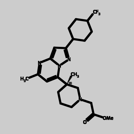 COC(=O)CN1CCC[C@@](C)(c2cc(C)nc3cc(C4CCC(C(F)(F)F)CC4)nn23)C1